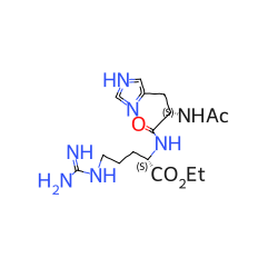 CCOC(=O)[C@H](CCCNC(=N)N)NC(=O)[C@H](Cc1c[nH]cn1)NC(C)=O